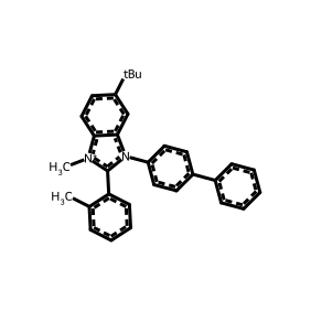 Cc1ccccc1-c1n(-c2ccc(-c3ccccc3)cc2)c2cc(C(C)(C)C)ccc2[n+]1C